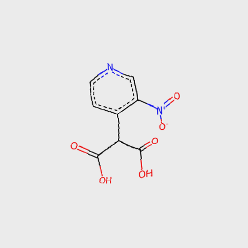 O=C(O)C(C(=O)O)c1ccncc1[N+](=O)[O-]